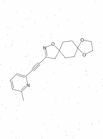 Cc1cccc(C#CC2=NOC3(CCC4(CC3)OCCO4)C2)n1